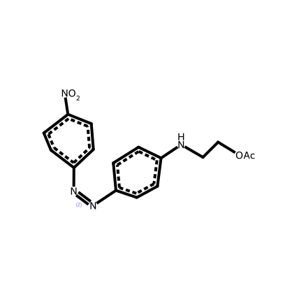 CC(=O)OCCNc1ccc(/N=N\c2ccc([N+](=O)[O-])cc2)cc1